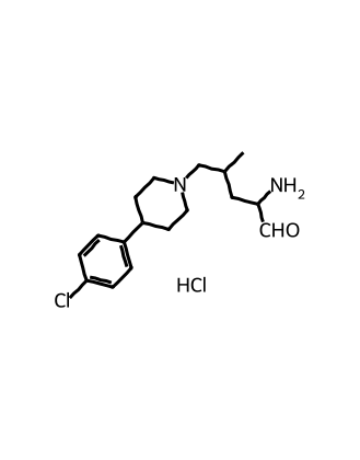 CC(CC(N)C=O)CN1CCC(c2ccc(Cl)cc2)CC1.Cl